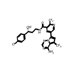 Nc1ncnn2c(-c3cnc(C(F)(F)F)c(C(=O)NCC[C@@H](O)c4ccc(Cl)cc4)c3)cc(C(F)(F)F)c12